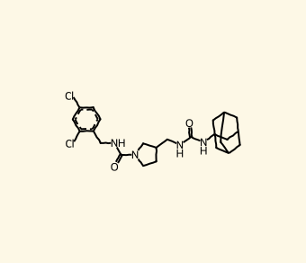 O=C(NCC1CCN(C(=O)NCc2ccc(Cl)cc2Cl)C1)NC12CC3CC(CC(C3)C1)C2